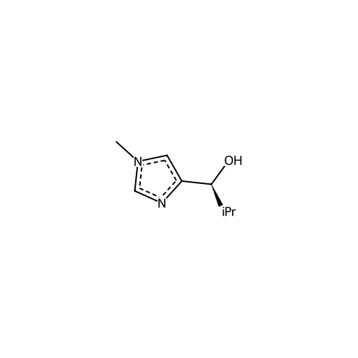 CC(C)[C@H](O)c1cn(C)cn1